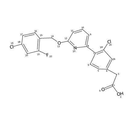 O=C(O)Cc1ccc(-c2cccc(OCc3ccc(Cl)cc3F)n2)c(Cl)c1